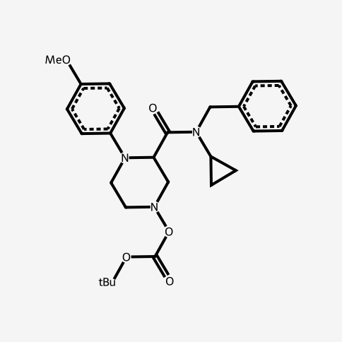 COc1ccc(N2CCN(OC(=O)OC(C)(C)C)CC2C(=O)N(Cc2ccccc2)C2CC2)cc1